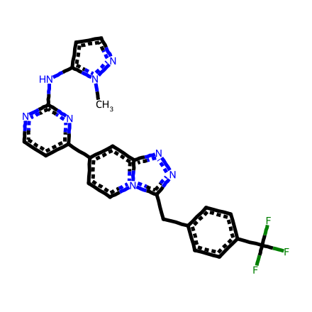 Cn1nccc1Nc1nccc(-c2ccn3c(Cc4ccc(C(F)(F)F)cc4)nnc3c2)n1